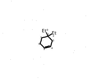 CCC1(CC)CC=[C]CC1